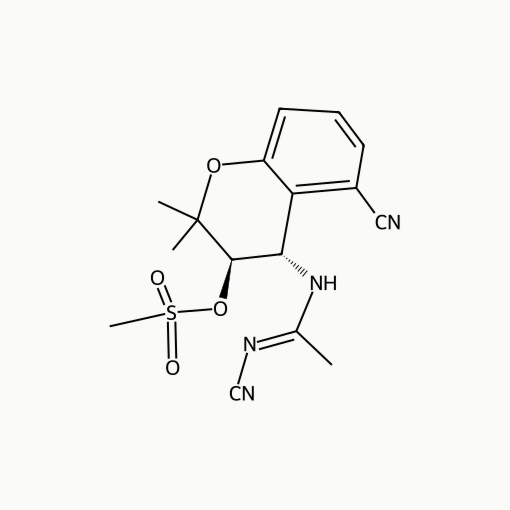 CC(=NC#N)N[C@H]1c2c(C#N)cccc2OC(C)(C)[C@@H]1OS(C)(=O)=O